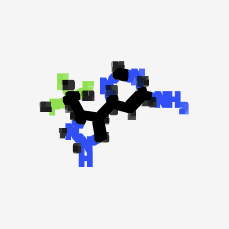 Nc1cc(-c2c[nH]nc2C(F)(F)F)ncn1